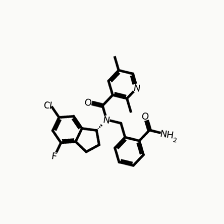 Cc1cnc(C)c(C(=O)N(Cc2ccccc2C(N)=O)[C@@H]2CCc3c(F)cc(Cl)cc32)c1